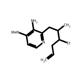 C=CCC(CC)C(C)Cc1nccc(NC)c1N